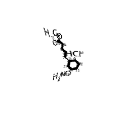 COC(=O)CCCC[C@H]1CCC[C@H](ON)C1.Cl